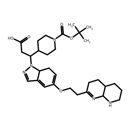 CC(C)(C)OC(=O)N1CCC(C(CC(=O)O)N2N=CC3=CC(OCCC4=NC5NCCCC5CC4)=CCC32)CC1